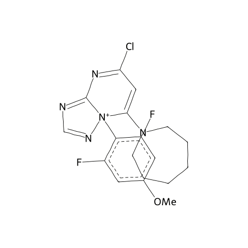 COc1cc(F)c([N+]23N=CN=C2N=C(Cl)C=C3N2CCCCCC2)c(F)c1